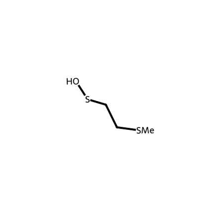 CSCCSO